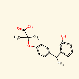 CC(c1ccc(OC(C)(C)C(=O)O)cc1)c1cccc(O)c1